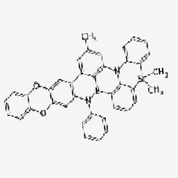 Cc1cc2c3c(c1)N1c4ccccc4[Si](C)(C)c4cccc(c41)B3N(c1ccccc1)c1cc3c(cc1-2)Oc1ccccc1O3